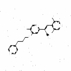 COc1cnc(/C(C#N)=C/c2c(Cl)cncc2Cl)cc1OCCCc1ccncc1